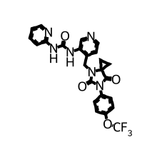 O=C(Nc1ccccn1)Nc1cnccc1CN1C(=O)N(c2ccc(OC(F)(F)F)cc2)C(=O)C12CC2